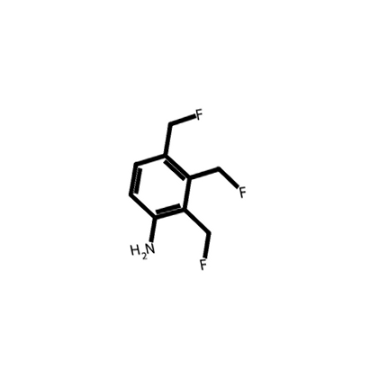 Nc1ccc(CF)c(CF)c1CF